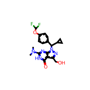 CN(C)c1nc2c(c(CO)nn2C(c2ccc(OC(F)F)cc2)C2CC2)c(=O)[nH]1